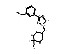 COc1cccc(-c2nnn(CC3CCC(F)(F)CC3)n2)c1